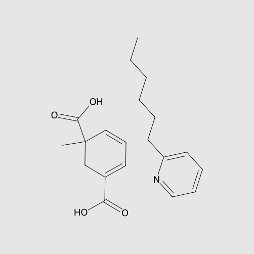 CC1(C(=O)O)C=CC=C(C(=O)O)C1.CCCCCCc1ccccn1